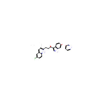 O=C(O)c1cc2cc(Cl)ccc2nc1CCC(=O)c1c[nH]c2cc(Oc3cccnc3)ccc12